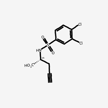 C#CC[C@@H](NS(=O)(=O)c1ccc(Cl)c(Cl)c1)C(=O)O